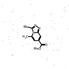 COC(=O)c1cc(C)n2c(C(C)(C)C)nnc2c1